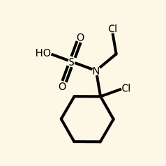 O=S(=O)(O)N(CCl)C1(Cl)CCCCC1